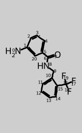 Nc1c[c]cc(C(=O)NCc2ccccc2C(F)(F)F)c1